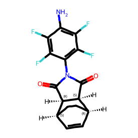 Nc1c(F)c(F)c(N2C(=O)[C@@H]3[C@H](C2=O)[C@@H]2C=C[C@H]3CC2)c(F)c1F